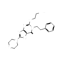 O=c1c2[nH]c(N3CCNCC3)nc2nc(OCCO)n1CCc1ccccc1